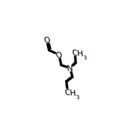 CCCN(CC)COC=O